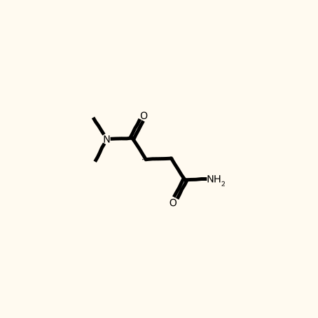 CN(C)C(=O)[CH]CC(N)=O